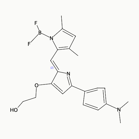 Cc1cc(C)n(B(F)F)c1/C=C1\N=C(c2ccc(N(C)C)cc2)C=C1OCCO